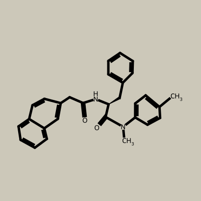 Cc1ccc(N(C)C(=O)[C@H](Cc2ccccc2)NC(=O)Cc2ccc3ccccc3c2)cc1